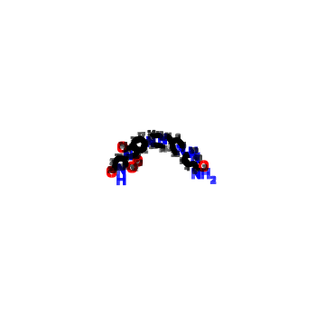 NC(=O)c1ccc(N2CCC(CN3CCN(c4ccc5c(c4)C(=O)N(C4CCC(=O)NC4=O)C5=O)CC3)CC2)nn1